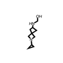 OCNC1CC2(C1)CN(C1CC1)C2